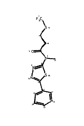 CN(C(=O)CCSC(F)(F)F)c1nnc(-c2cccnc2)s1